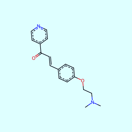 CN(C)CCOc1ccc(C=CC(=O)c2ccncc2)cc1